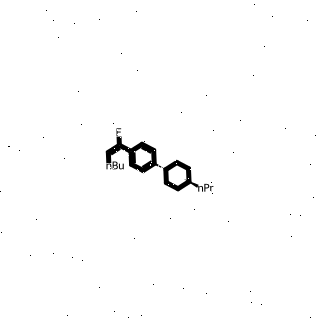 CCCC/C=C(/F)c1ccc([C@H]2CC[C@H](CCC)CC2)cc1